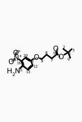 CC(C)(C)OC(=O)CCCOc1ccc(N)c([N+](=O)[O-])c1